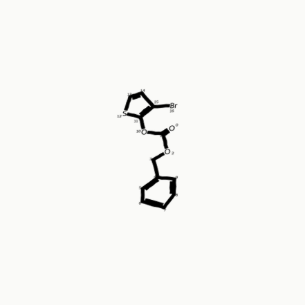 O=C(OCc1ccccc1)Oc1sccc1Br